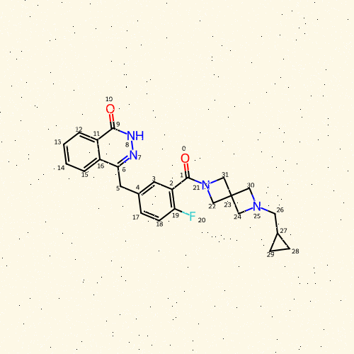 O=C(c1cc(Cc2n[nH]c(=O)c3ccccc23)ccc1F)N1CC2(CN(CC3CC3)C2)C1